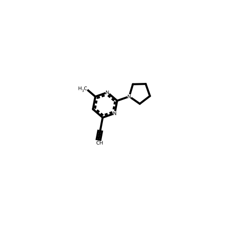 C#Cc1cc(C)nc(N2CCCC2)n1